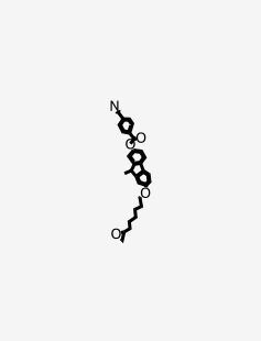 CC1c2cc(OCCCCCCC3CO3)ccc2-c2ccc(OC(=O)c3ccc(C#N)cc3)cc21